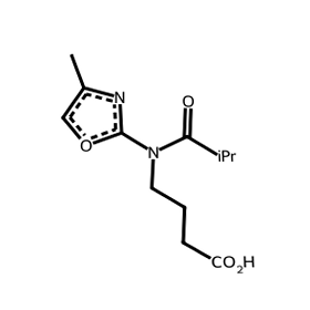 Cc1coc(N(CCCC(=O)O)C(=O)C(C)C)n1